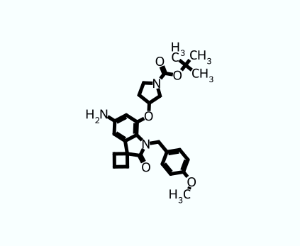 COc1ccc(CN2C(=O)C3(CCC3)c3cc(N)cc(OC4CCN(C(=O)OC(C)(C)C)C4)c32)cc1